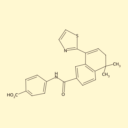 CC1(C)CC=C(c2nccs2)c2cc(C(=O)Nc3ccc(C(=O)O)cc3)ccc21